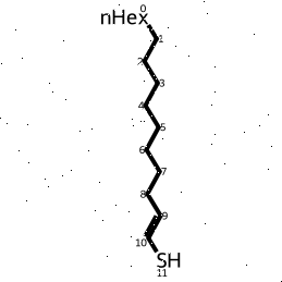 CCCCCCCCCCCCCCC=CS